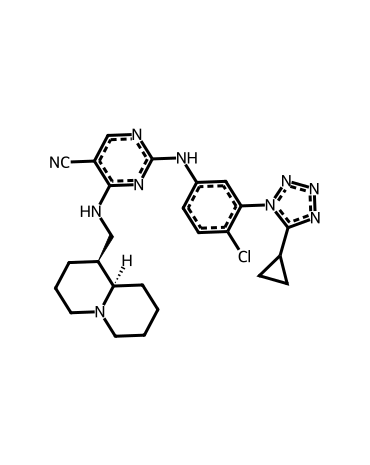 N#Cc1cnc(Nc2ccc(Cl)c(-n3nnnc3C3CC3)c2)nc1NC[C@@H]1CCCN2CCCC[C@H]12